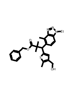 CCn1nnc2c(C)c(C(c3cc(CO)c(C)s3)C(C)(C)C(=O)OCc3ccccc3)ccc21